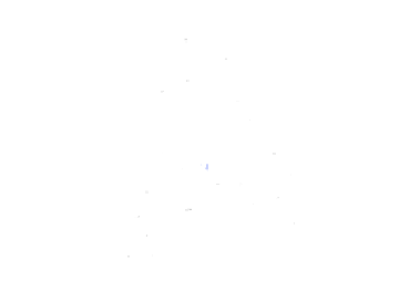 C[C@H](NC(=O)c1cc(Cl)ccc1OCc1ccc(F)c(F)c1)c1ccc(C(=O)O)cc1